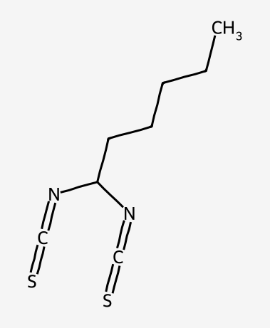 CCCCCC(N=C=S)N=C=S